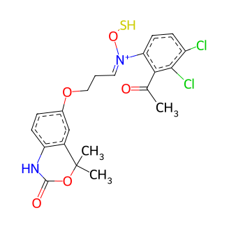 CC(=O)c1c([N+](=CCCOc2ccc3c(c2)C(C)(C)OC(=O)N3)OS)ccc(Cl)c1Cl